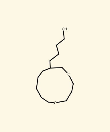 OCCCCC1CCCCCCCCCCC1